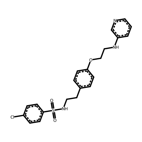 O=S(=O)(NCCc1ccc(OCCNc2cccnc2)cc1)c1ccc(Cl)cc1